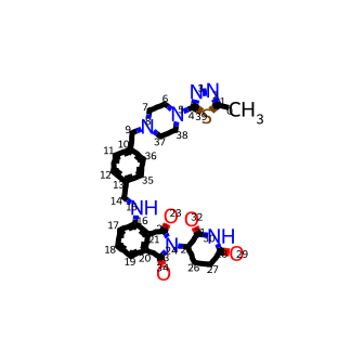 Cc1nnc(N2CCN(Cc3ccc(CNc4cccc5c4C(=O)N(C4CCC(=O)NC4=O)C5=O)cc3)CC2)s1